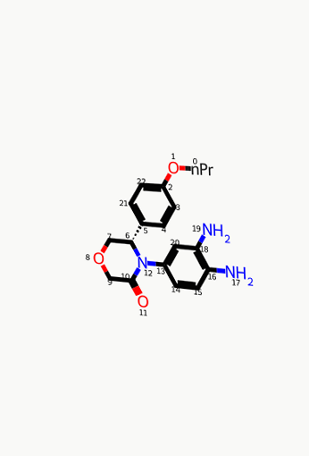 CCCOc1ccc([C@H]2COCC(=O)N2c2ccc(N)c(N)c2)cc1